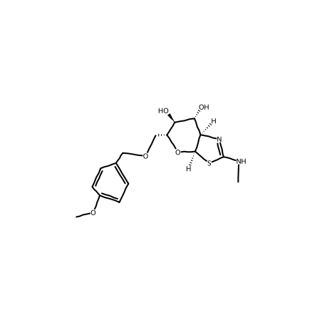 CNC1=N[C@@H]2[C@@H](O)[C@H](O)[C@@H](COCc3ccc(OC)cc3)O[C@@H]2S1